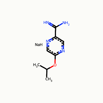 CC(C)Oc1cnc(C(=N)N)cn1.[NaH]